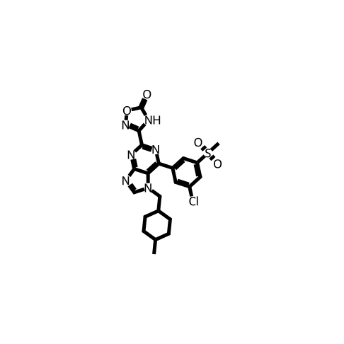 CC1CCC(Cn2cnc3nc(-c4noc(=O)[nH]4)nc(-c4cc(Cl)cc(S(C)(=O)=O)c4)c32)CC1